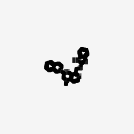 CN(CCN1CCc2ccccc2C1)c1ccnc(CSc2nc3ccccc3[nH]2)c1Cl